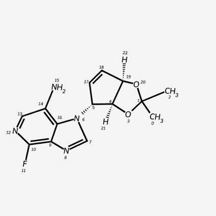 CC1(C)O[C@H]2[C@H](n3cnc4c(F)ncc(N)c43)C=C[C@H]2O1